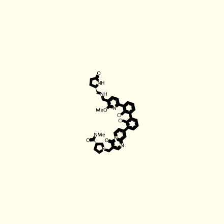 CNC(=O)[C@H]1CCN(Cc2cnc3cc(-c4cccc(-c5cccc(-c6ccc(CNC[C@@H]7CCC(=O)N7)c(OC)n6)c5Cl)c4Cl)ccn3c2=O)C1